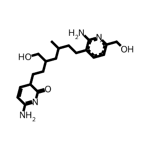 CC(CCc1ccc(CO)nc1N)CC(CO)CCC1C=CC(N)=NC1=O